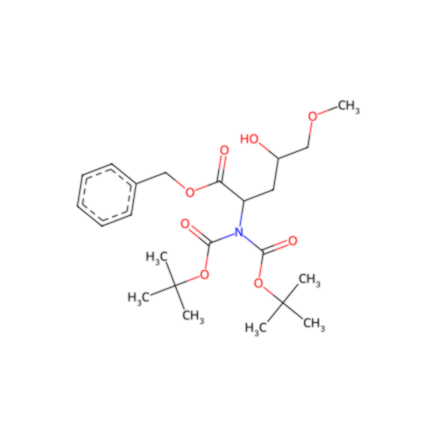 COCC(O)CC(C(=O)OCc1ccccc1)N(C(=O)OC(C)(C)C)C(=O)OC(C)(C)C